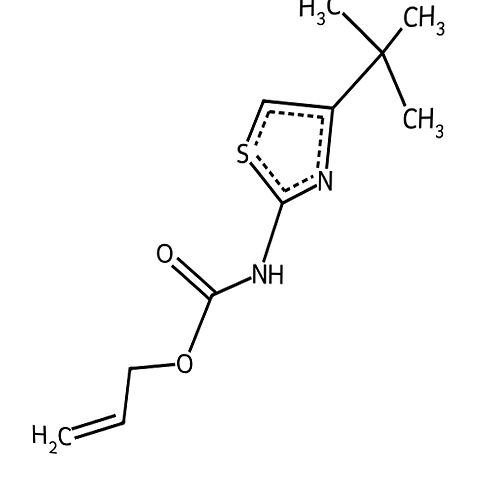 C=CCOC(=O)Nc1nc(C(C)(C)C)cs1